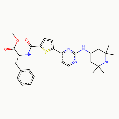 COC(=O)[C@@H](Cc1ccccc1)NC(=O)c1ccc(-c2ccnc(NC3CC(C)(C)NC(C)(C)C3)n2)s1